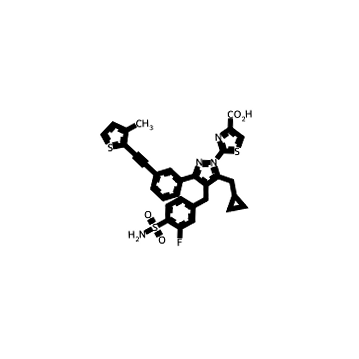 Cc1ccsc1C#Cc1cccc(-c2nn(-c3nc(C(=O)O)cs3)c(CC3CC3)c2Cc2ccc(S(N)(=O)=O)c(F)c2)c1